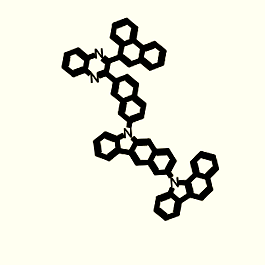 c1ccc2c(c1)cc(-c1nc3ccccc3nc1-c1ccc3ccc(-n4c5ccccc5c5cc6cc(-n7c8ccccc8c8ccc9ccccc9c87)ccc6cc54)cc3c1)c1ccccc12